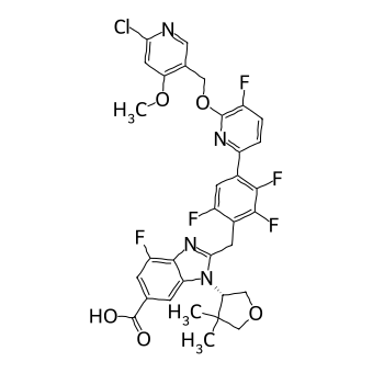 COc1cc(Cl)ncc1COc1nc(-c2cc(F)c(Cc3nc4c(F)cc(C(=O)O)cc4n3[C@@H]3COCC3(C)C)c(F)c2F)ccc1F